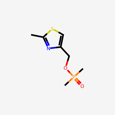 Cc1nc(COP(C)(C)=O)cs1